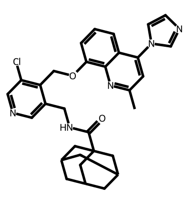 Cc1cc(-n2ccnc2)c2cccc(OCc3c(Cl)cncc3CNC(=O)C34CC5CC(CC(C5)C3)C4)c2n1